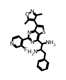 Cc1noc(C)c1-c1csc2c(C(N)C(N)Cc3ccccc3)nc(-c3ccncc3F)nc12